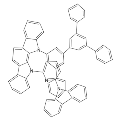 c1ccc(-c2cc(-c3ccccc3)cc(-c3cc(-c4ccccc4)cc(-n4c5ccccc5c5ccc6c7ccccc7n(-c7cccc(-n8c9ccccc9c9ccccc98)n7)c6c54)c3)c2)cc1